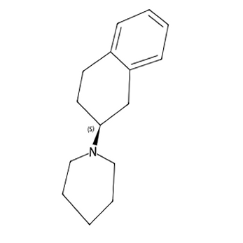 c1ccc2c(c1)CC[C@H](N1CCCCC1)C2